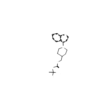 CC(C)(C)OC(=O)NCC1CCN(c2ccnc3ccccc23)CC1